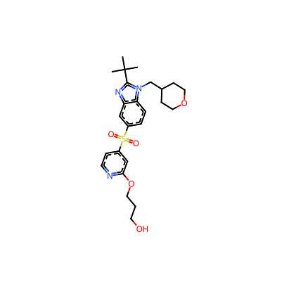 CC(C)(C)c1nc2cc(S(=O)(=O)c3ccnc(OCCCO)c3)ccc2n1CC1CCOCC1